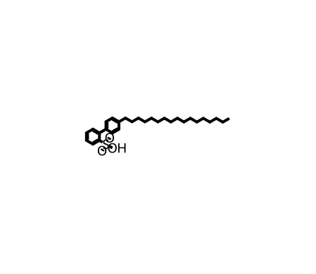 CCCCCCCCCCCCCCCCCc1ccc(-c2ccccc2S(=O)(=O)O)cc1